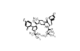 C[C@H]1CN(C(=O)[C@H](Cc2ccc(Cl)cc2)NC(=O)OC(C)(C)C)CCN1C(=O)[C@@H]1CN(C(C)(C)C)C[C@H]1c1ccc(F)cc1F